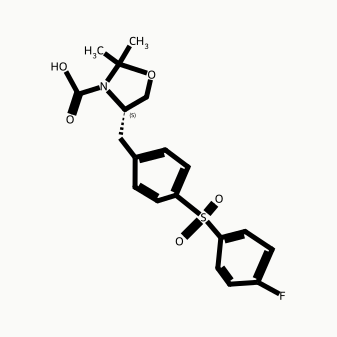 CC1(C)OC[C@H](Cc2ccc(S(=O)(=O)c3ccc(F)cc3)cc2)N1C(=O)O